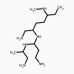 CCC(CCC(CN)NC(CCN)NC(C)CN)NC